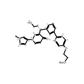 COCCOc1cnc(-c2cccc([C@@H](CCO)c3nn(-c4cnn(C)c4)ccc3=O)c2)nc1